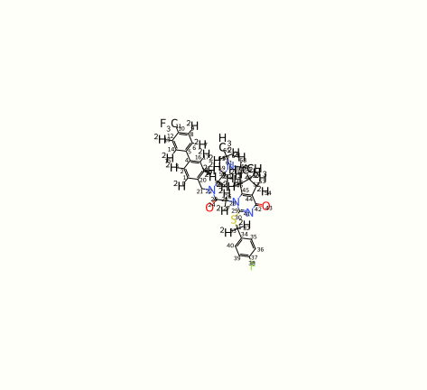 [2H]c1c([2H])c(-c2c([2H])c([2H])c(C(F)(F)F)c([2H])c2[2H])c([2H])c([2H])c1CN(C(=O)C([2H])([2H])n1c(SC([2H])([2H])c2ccc(F)cc2)nc(=O)c2c1C([2H])([2H])C([2H])(C)C2([2H])[2H])C([2H])([2H])C([2H])([2H])N(C([2H])([2H])C)C([2H])([2H])C